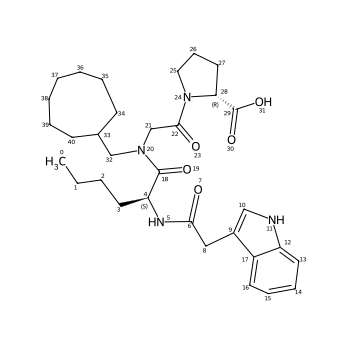 CCCC[C@H](NC(=O)Cc1c[nH]c2ccccc12)C(=O)N(CC(=O)N1CCC[C@@H]1C(=O)O)CC1CCCCCCC1